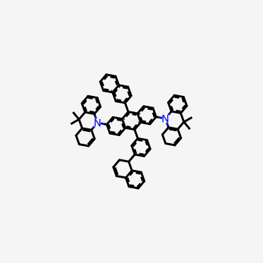 CC1(C)C2=C(CCC=C2)N(c2ccc3c(-c4ccc5ccccc5c4)c4cc(N5C6=C(CCC=C6)C(C)(C)c6ccccc65)ccc4c(-c4cccc(C5CC=Cc6ccccc65)c4)c3c2)c2ccccc21